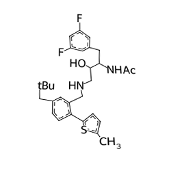 CC(=O)NC(Cc1cc(F)cc(F)c1)C(O)CNCc1cc(CC(C)(C)C)ccc1-c1ccc(C)s1